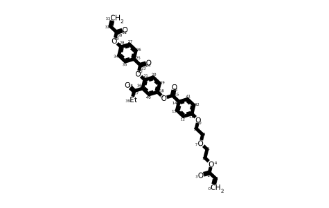 C=CC(=O)OCCOCCOc1ccc(C(=O)Oc2ccc(OC(=O)c3ccc(OC(=O)C=C)cc3)c(C(=O)CC)c2)cc1